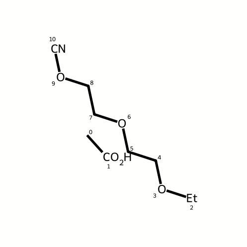 CC(=O)O.CCOCCOCCOC#N